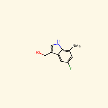 CNc1cc(F)cc2c(CO)c[nH]c12